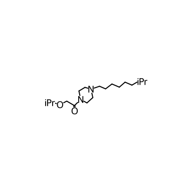 CC(C)CCCCCCN1CCN(C(=O)COC(C)C)CC1